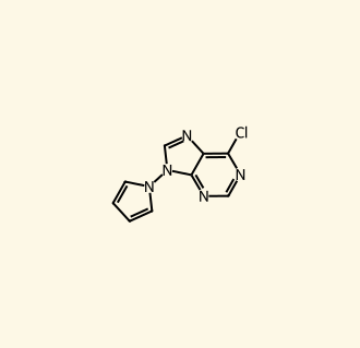 Clc1ncnc2c1ncn2-n1cccc1